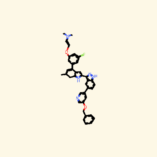 CC1C=C(c2cc(F)cc(OCCN(C)C)c2)c2cc(-c3n[nH]c4ccc(-c5cncc(OCc6ccccc6)c5)cc34)[nH]c2C1